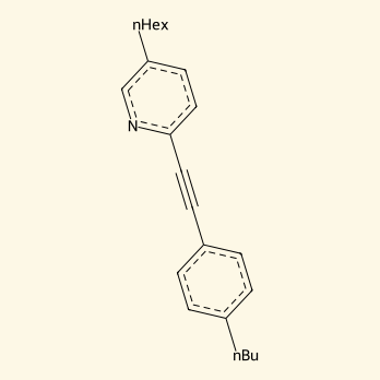 CCCCCCc1ccc(C#Cc2ccc(CCCC)cc2)nc1